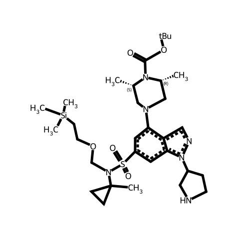 C[C@@H]1CN(c2cc(S(=O)(=O)N(COCC[Si](C)(C)C)C3(C)CC3)cc3c2cnn3C2CCNC2)C[C@H](C)N1C(=O)OC(C)(C)C